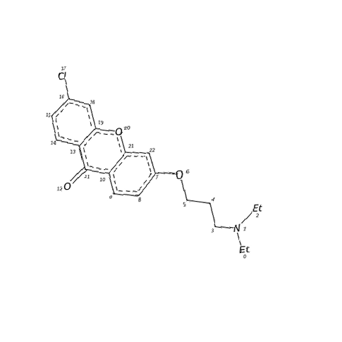 CCN(CC)CCCOc1ccc2c(=O)c3ccc(Cl)cc3oc2c1